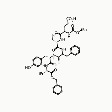 CC(C)C[C@H](NC(=O)[C@H](CCC(=O)O)NC(=O)OC(C)(C)C)C(=O)N[C@@H](Cc1ccccc1)C(=O)N[C@@H](Cc1ccc(O)cc1)C(=O)N[C@H](C(=O)OCc1ccccc1)C(C)C